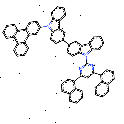 c1ccc2c(-c3cc(-c4cccc5ccccc45)nc(-n4c5ccccc5c5cc(-c6ccc7c(c6)c6ccccc6n7-c6ccc7c8ccccc8c8ccccc8c7c6)ccc54)n3)cccc2c1